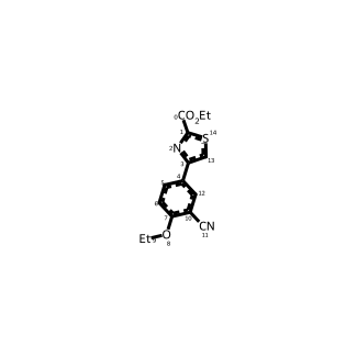 CCOC(=O)c1nc(-c2ccc(OCC)c(C#N)c2)cs1